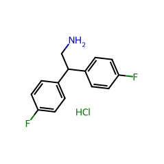 Cl.NCC(c1ccc(F)cc1)c1ccc(F)cc1